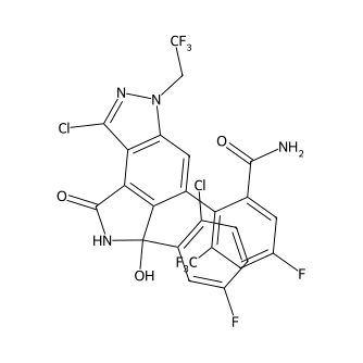 NC(=O)c1cc(F)cc(C(F)(F)F)c1-c1cc2c(c(Cl)nn2CC(F)(F)F)c2c1C(O)(c1cc(F)ccc1Cl)NC2=O